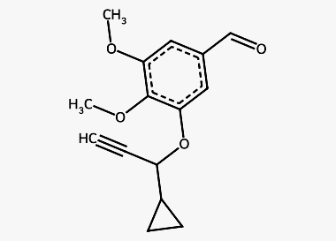 C#CC(Oc1cc(C=O)cc(OC)c1OC)C1CC1